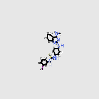 CN(C)c1nc(NC2CCC(NC(=S)Nc3cccc(I)c3)CC2)nc2c1CCCC2